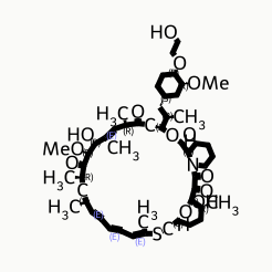 CO[C@@H]1C[C@H](C[C@@H](C)[C@@H]2CC(=O)[C@H](C)/C=C(\C)[C@@H](O)[C@@H](OC)C(=O)[C@H](C)C[C@H](C)/C=C/C=C/C=C(\C)SC[C@@H]3CC[C@@H](C)[C@@](O)(O3)C(=O)C(=O)N3CCCC[C@H]3C(=O)O2)CC[C@H]1OCCO